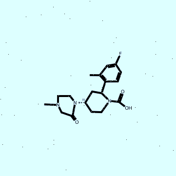 Cc1cc(F)ccc1C1C[C@@H](N2CCN(C)CC2=O)CCN1C(=O)O